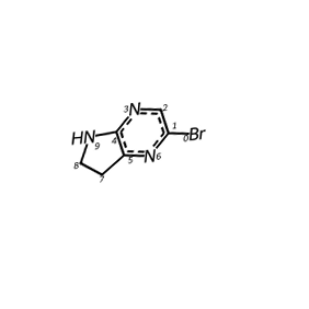 Brc1cnc2c(n1)CCN2